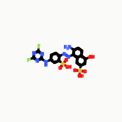 Nc1ccc2c(O)cc(S(=O)(=O)O)cc2c1N=Nc1ccc(Nc2nc(F)nc(F)n2)cc1S(=O)(=O)O